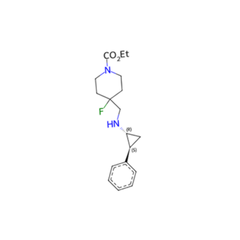 CCOC(=O)N1CCC(F)(CN[C@@H]2C[C@H]2c2ccccc2)CC1